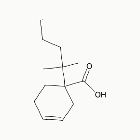 [CH2]CCC(C)(C)C1(C(=O)O)CC=CCC1